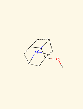 COC12CC3CC(C1)N(C)C(C3)C2